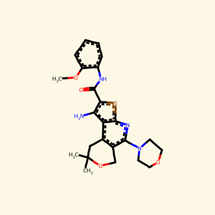 COc1ccccc1NC(=O)c1sc2nc(N3CCOCC3)c3c(c2c1N)CC(C)(C)OC3